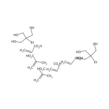 C=C(C)C(=O)O.C=C(C)C(=O)O.C=CC(=O)O.C=CC(=O)O.C=CC(=O)O.CCC(CO)(CO)CO.CCC(CO)(CO)CO